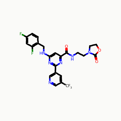 O=C(NCCN1CCOC1=O)c1cc(NCc2ccc(F)cc2F)nc(-c2cncc(C(F)(F)F)c2)n1